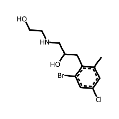 Cc1cc(Cl)cc(Br)c1CC(O)CNCCO